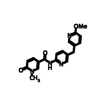 COc1ccc(Cc2ccc(NC(=O)c3ccc(=O)n(C)c3)nc2)cn1